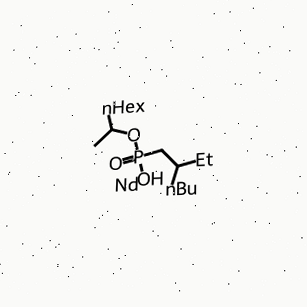 CCCCCCC(C)OP(=O)(O)CC(CC)CCCC.[Nd]